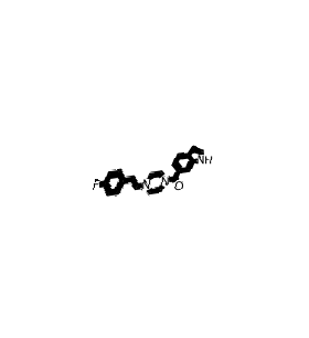 O=C(c1ccc2cc[nH]c2c1)N1CCN(CCc2ccc(F)cc2)CC1